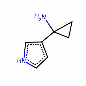 NC1(c2cc[nH]c2)CC1